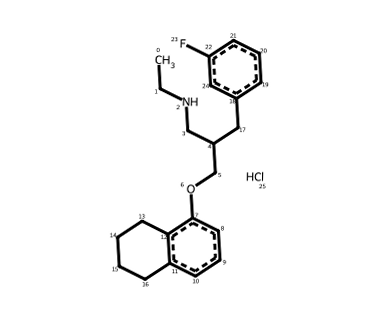 CCNCC(COc1cccc2c1CCCC2)Cc1cccc(F)c1.Cl